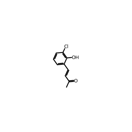 CC(=O)C=Cc1cccc(Cl)c1O